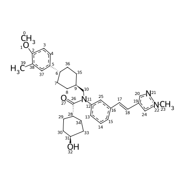 COc1ccc([C@H]2CC[C@H](CN(c3cccc(C=Cc4cnn(C)c4)c3)C(=O)[C@H]3CC[C@H](O)CC3)CC2)cc1C